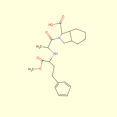 COC(=O)C(CCc1ccccc1)NC(C)C(=O)N1CC2CCCCC2C1C(=O)O